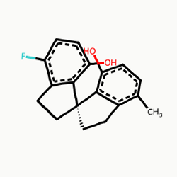 Cc1ccc(O)c2c1CC[C@@]21CCc2c(F)ccc(O)c21